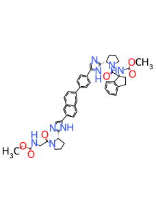 COC(=O)NCC(=O)N1CCC[C@H]1c1ncc(-c2ccc3cc(-c4ccc(-c5cnc([C@@H]6CCCN6C(=O)C6(NC(=O)OC)CCc7ccccc76)[nH]5)cc4)ccc3c2)[nH]1